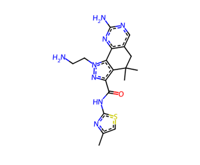 Cc1csc(NC(=O)c2nn(CCN)c3c2C(C)(C)Cc2cnc(N)nc2-3)n1